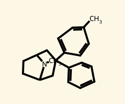 Cc1ccc(C2(c3ccccc3)CC3CCC(C2)N3C)cc1